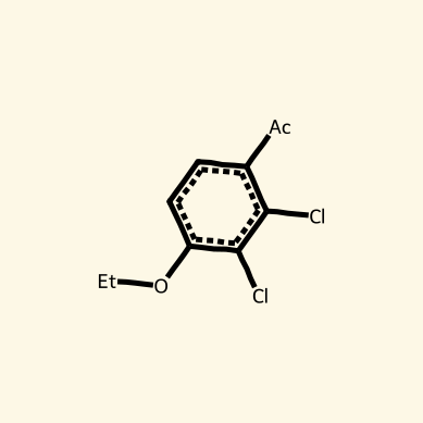 CCOc1ccc(C(C)=O)c(Cl)c1Cl